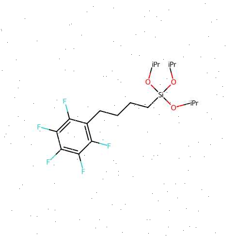 CC(C)O[Si](CCCCc1c(F)c(F)c(F)c(F)c1F)(OC(C)C)OC(C)C